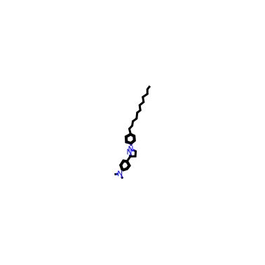 CCCCCCCCCCCCc1ccc(N2CCC(c3ccc(N(C)C)cc3)=N2)cc1